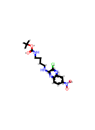 CC(C)(C)OC(=O)NCCCCNc1nc2ccc([N+](=O)[O-])cc2nc1Cl